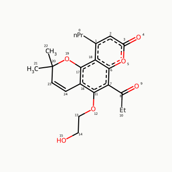 CCCc1cc(=O)oc2c(C(=O)CC)c(OCCO)c3c(c12)OC(C)(C)C=C3